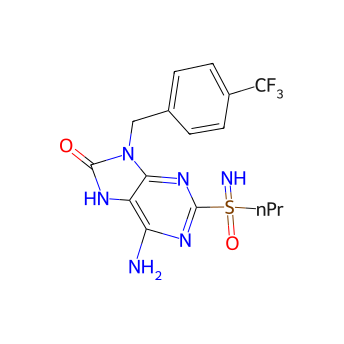 CCCS(=N)(=O)c1nc(N)c2[nH]c(=O)n(Cc3ccc(C(F)(F)F)cc3)c2n1